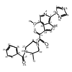 COc1cnc(-n2cncn2)c2[nH]cc(C(=O)C(=O)N3CCN(C(=O)c4ccccc4)C(C)C3)c12